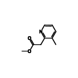 COC(=O)Cc1ncccc1C